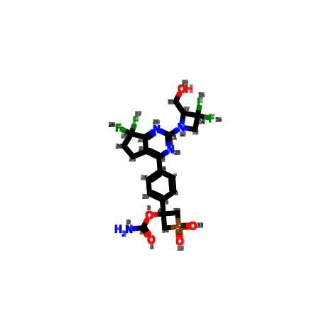 NC(=O)OC1(c2ccc(-c3nc(N4CC(F)(F)C4CO)nc4c3CCC4(F)F)cc2)CS(=O)(=O)C1